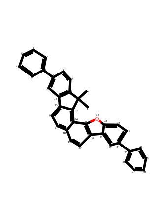 CC1(C)c2ccc(-c3ccccc3)cc2-c2ccc3ccc4c5cc(-c6ccccc6)ccc5oc4c3c21